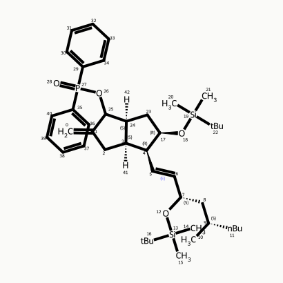 C=C1C[C@@H]2[C@H](/C=C/[C@H](C[C@@H](C)CCCC)O[Si](C)(C)C(C)(C)C)[C@H](O[Si](C)(C)C(C)(C)C)C[C@@H]2C1OP(=O)(c1ccccc1)c1ccccc1